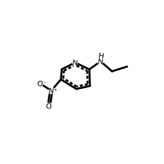 CCNc1ccc([N+](=O)[O-])cn1